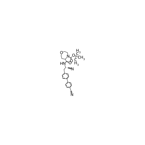 CC(C)(C)OC(=O)N1CCOCCC1C(=O)N[C@H](C#N)Cc1ccc(-c2ccc(C#N)cc2)cc1